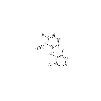 Cc1cccc(Cl)c1Nc1ncnc(Cl)c1C#N